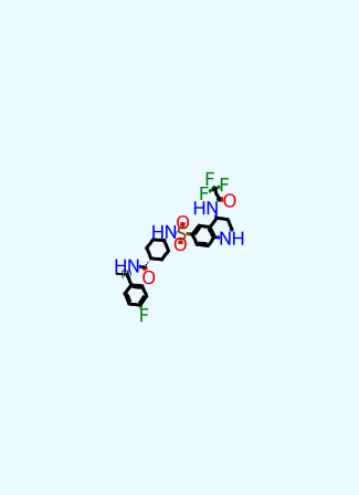 C[C@@H](NC(=O)[C@H]1CC[C@H](NS(=O)(=O)c2ccc3c(c2)C(NC(=O)C(F)(F)F)CCN3)CC1)c1ccc(F)cc1